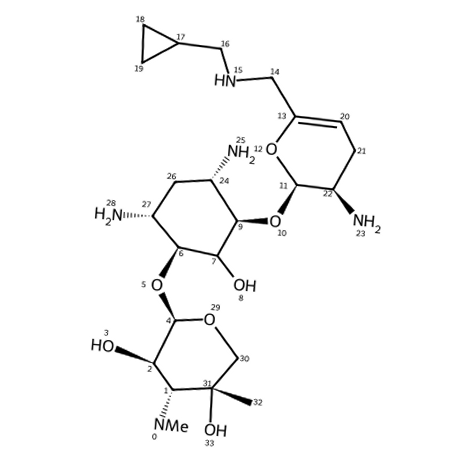 CN[C@@H]1[C@@H](O)[C@@H](O[C@@H]2C(O)[C@H](O[C@H]3OC(CNCC4CC4)=CC[C@H]3N)[C@@H](N)C[C@H]2N)OC[C@]1(C)O